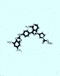 Cc1cc(C)c2oc(Nc3ccc(-c4nn(C5CCN(C(=O)OC(C)(C)C)C5)c5ccnc(N)c45)cc3)nc2c1